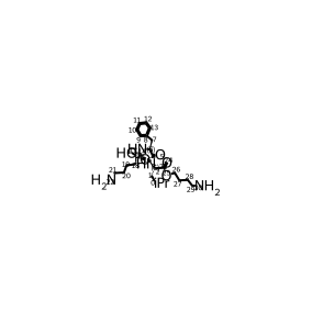 CC(C)C[C@H](NC(=O)[C@H](Cc1ccccc1)NP(=O)(O)CCCCN)C(=O)OCCCCN